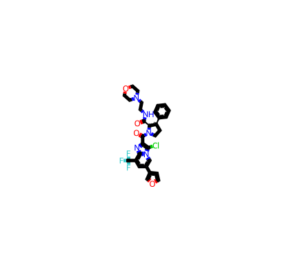 O=C(NCCN1CCOCC1)[C@H]1[C@@H](c2ccccc2)CCN1C(=O)c1nc2c(C(F)(F)F)cc(-c3ccoc3)cn2c1Cl